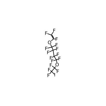 FC(F)=C(F)OC(F)(F)C(F)(F)C(F)(F)C(F)(F)OC(F)(F)C(F)(F)I